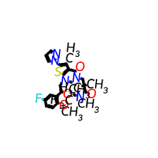 COc1ccc(F)cc1C(=O)CN1CN(CC(C)(C)C(=O)N(C)C(C)C)C(=O)c2c1sc(-n1cccn1)c2C